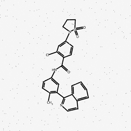 Cc1ccc(NC(=O)c2ccc(N3CCCS3(=O)=O)cc2Cl)cc1-c1nccc2ccccc12